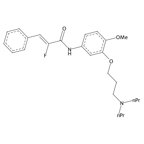 CCCN(CCC)CCCOc1cc(NC(=O)C(F)=Cc2ccccc2)ccc1OC